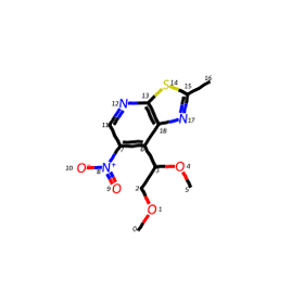 COCC(OC)c1c([N+](=O)[O-])cnc2sc(C)nc12